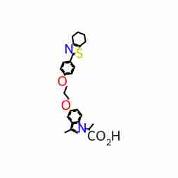 Cc1cn(C(C)C(=O)O)c2ccc(OCCCOc3ccc(-c4nc5c(s4)CCCC5)cc3)cc12